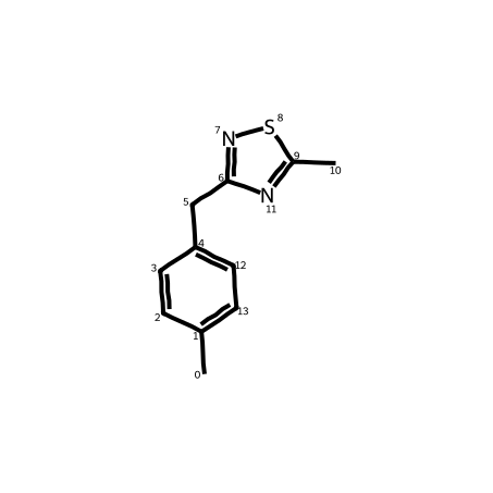 Cc1ccc(Cc2nsc(C)n2)cc1